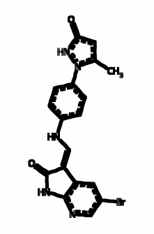 Cc1cc(=O)[nH]n1-c1ccc(NC=C2C(=O)Nc3ncc(Br)cc32)cc1